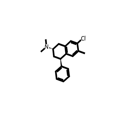 Cc1cc2c(cc1Cl)C[C@@H](N(C)C)C[C@@H]2c1ccccc1